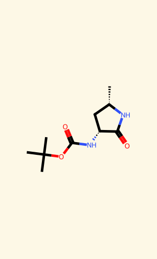 C[C@H]1C[C@@H](NC(=O)OC(C)(C)C)C(=O)N1